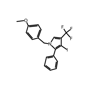 COc1ccc(Cn2cc(C(F)(F)F)c(I)c2-c2ccccc2)cc1